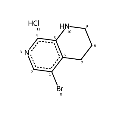 Brc1cncc2c1CCCN2.Cl